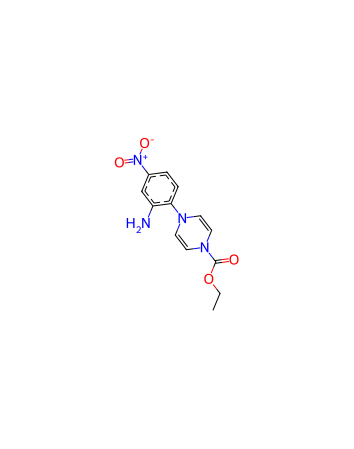 CCOC(=O)N1C=CN(c2ccc([N+](=O)[O-])cc2N)C=C1